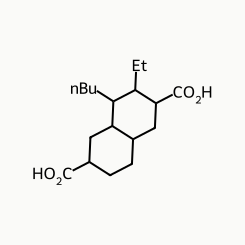 CCCCC1C2CC(C(=O)O)CCC2CC(C(=O)O)C1CC